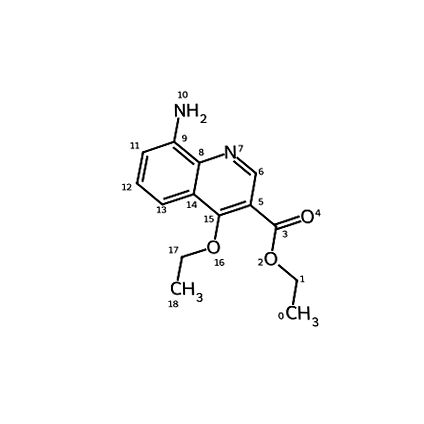 CCOC(=O)c1cnc2c(N)cccc2c1OCC